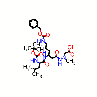 CC(C)CC(NC(=O)OC(C)(C)C)C(=O)NC(CCCNC(=O)OCc1ccccc1)CC(=O)NN(C)CC(=O)O